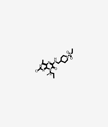 CC[C@@H](C)n1c(=O)c(NCC2CCN(S(=O)(=O)CC)CC2)nc2c(C)nc(Cl)nc21